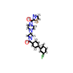 Cc1ccc(F)cc1-c1ccc(C(=O)N2CC(N3CCN(C(=O)c4nccs4)CC3)C2)cc1